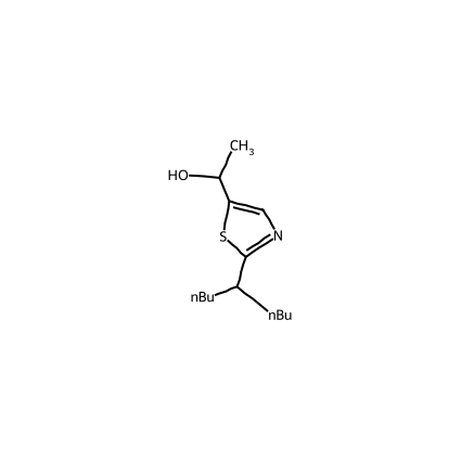 CCCCC(CCCC)c1ncc(C(C)O)s1